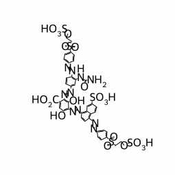 NC(=O)Nc1cc(N=Nc2c(C(=O)O)cc(O)c(N=Nc3ccc(N=Nc4ccc(S(=O)(=O)CCOS(=O)(=O)O)cc4)c4ccc(S(=O)(=O)O)cc34)c2O)ccc1N=Nc1ccc(S(=O)(=O)CCOS(=O)(=O)O)cc1